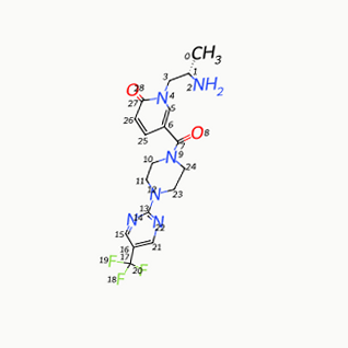 C[C@H](N)Cn1cc(C(=O)N2CCN(c3ncc(C(F)(F)F)cn3)CC2)ccc1=O